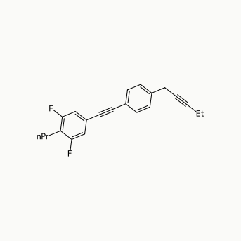 CCC#CCc1ccc(C#Cc2cc(F)c(CCC)c(F)c2)cc1